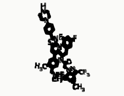 Cc1cc(-c2cc3sc(-c4ccc(N5CCNCC5)cc4)nc3nc2C(Cc2cc(F)cc(F)c2)NC(=O)Cn2nc(C(F)(F)F)c3c2C(F)(F)C2C3[C@H]2C)ccc1CNC=O